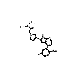 COc1ccc(F)cc1-c1ccnc2[nH]c(C3=CCN(CC(=O)N(C)C)C3)cc12